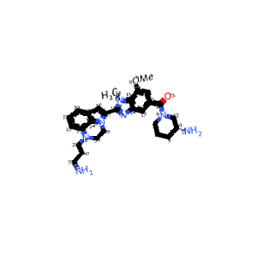 COc1cc(C(=O)N2CCC[C@@H](N)C2)cc2nc(-c3cc4cccc5c4n3CCN5CCCN)n(C)c12